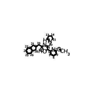 COc1cccc(C(O)[C@@H](CN2CCCC2)NC(=O)CC2Cc3ccccc3C2)n1